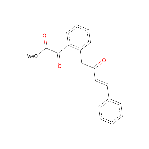 COC(=O)C(=O)c1ccccc1CC(=O)C=Cc1ccccc1